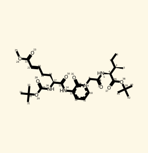 CC[C@@H](C)[C@H](NC(=O)Cn1cccc(NC(=O)[C@H](CC/C=C/C(=O)OC)NC(=O)OC(C)(C)C)c1=O)C(=O)OC(C)(C)C